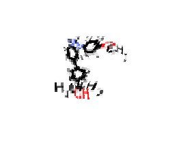 COc1ccc(-n2cnc3ccc(-c4ccc(C(C)(C)O)cc4)cc32)cc1